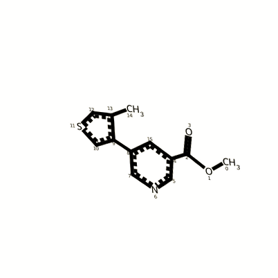 COC(=O)c1cncc(-c2cscc2C)c1